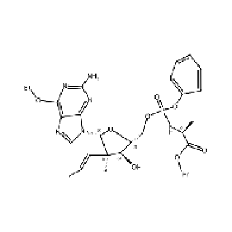 CC=C[C@]1(C)[C@H](O)[C@@H](COP(=O)(N[C@@H](C)C(=O)OC(C)C)Oc2ccccc2)O[C@H]1n1cnc2c(OCC)nc(N)nc21